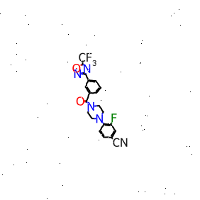 N#Cc1ccc(N2CCN(C(=O)c3cccc(-c4noc(C(F)(F)F)n4)c3)CC2)c(F)c1